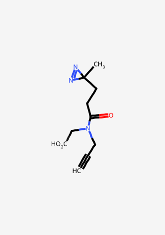 C#CCN(CC(=O)O)C(=O)CCC1(C)N=N1